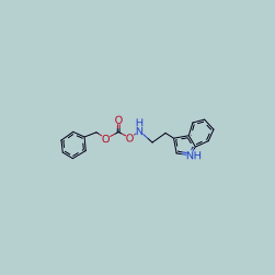 O=C(OCc1ccccc1)ONCCc1c[nH]c2ccccc12